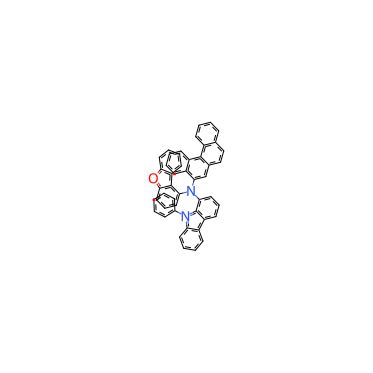 c1ccc(-n2c3ccccc3c3cccc(N(c4cc5ccc6ccccc6c5c5ccccc45)c4cccc5oc6ccccc6c45)c32)cc1